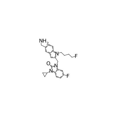 NCc1ccc2c(c1)cc(Cn1c(=O)n(C3CC3)c3ccc(F)cc31)n2CCCCF